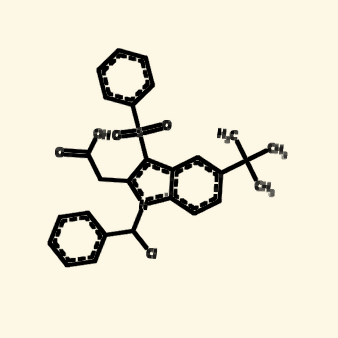 CC(C)(C)c1ccc2c(c1)c(S(=O)(=O)c1ccccc1)c(CC(=O)O)n2C(Cl)c1ccccc1